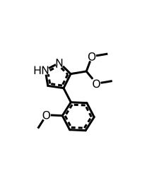 COc1ccccc1-c1c[nH]nc1C(OC)OC